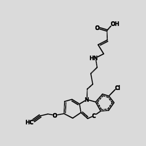 C#CCOC1=CC=C2C(=CCc3ccc(Cl)cc3N2CCCCNCC=CC(=O)O)C1